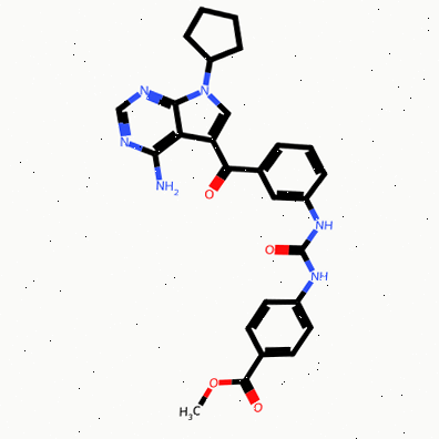 COC(=O)c1ccc(NC(=O)Nc2cccc(C(=O)c3cn(C4CCCC4)c4ncnc(N)c34)c2)cc1